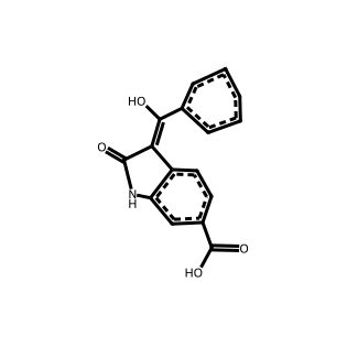 O=C1Nc2cc(C(=O)O)ccc2/C1=C(/O)c1ccccc1